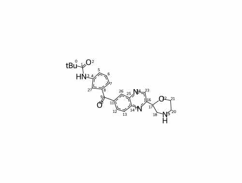 CC(C)(C)C(=O)Nc1cccc(C(=O)c2ccc3nc(C4CNCCO4)cnc3c2)c1